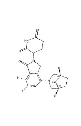 O=C1CCC(N2Cc3c(N4C[C@H]5CC[C@@H](C4)N5)cc(F)c(F)c3C2=O)C(=O)N1